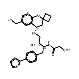 COCC(=O)N[C@@H](Cc1ccc(-c2nccs2)cc1)[C@H](O)CN[C@H]1CC2(CCC2)Oc2ncc(CC(C)C)cc21